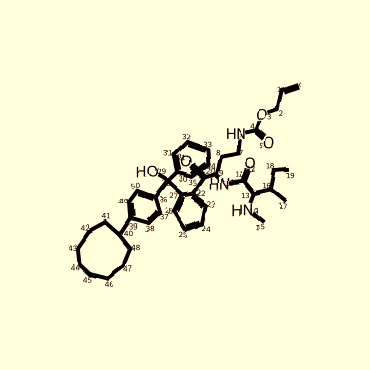 C=CCOC(=O)NCCC(NC(=O)C(NC)C(C)CC)C(=O)c1ccccc1C(O)(c1ccccc1)c1ccc(C2CCCCCCCC2)cc1